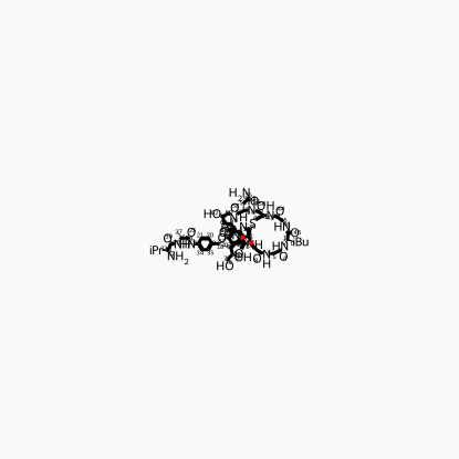 CC[C@H](C)[C@@H]1NC(=O)CNC(=O)C2Cc3c([nH]c4cc(OCc5ccc(NC(=O)[C@@H](C)NC(=O)[C@@H](N)C(C)C)cc5)ccc34)SCC(NC(=O)CNC1=O)C(=O)N[C@@H](CC(N)=O)C(=O)N1CC(O)C[C@H]1C(=O)N[C@@H]([C@@H](C)[C@@H](O)CO)C(=O)N2